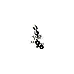 Cc1cc2c(=O)c3ccccc3[nH]c2cc1C(=O)NC(C)(C)c1ccc(N2CCOCC2)nc1